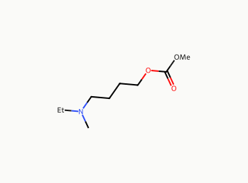 CCN(C)CCCCOC(=O)OC